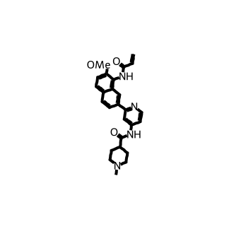 C=CC(=O)Nc1c(OC)ccc2ccc(-c3cc(NC(=O)C4CCN(C)CC4)ccn3)cc12